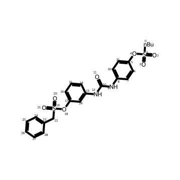 CCCCS(=O)(=O)Oc1ccc(NC(=O)Nc2cccc(OS(=O)(=O)Cc3ccccc3)c2)cc1